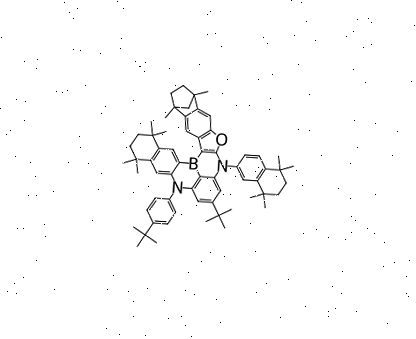 CC(C)(C)c1ccc(N2c3cc4c(cc3B3c5c2cc(C(C)(C)C)cc5N(c2ccc5c(c2)C(C)(C)CCC5(C)C)c2oc5cc6c(cc5c23)C2(C)CCC6(C)C2)C(C)(C)CCC4(C)C)cc1